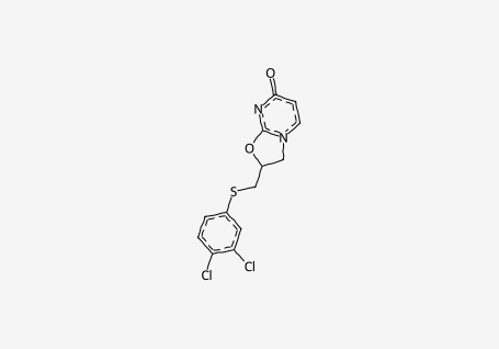 O=c1ccn2c(n1)OC(CSc1ccc(Cl)c(Cl)c1)C2